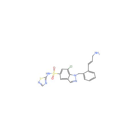 NCC=Cc1ccccc1Cn1ncc2cc(S(=O)(=O)Nc3ncns3)cc(Cl)c21